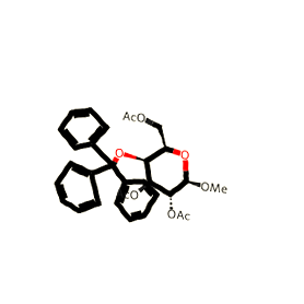 CO[C@@H]1O[C@H](COC(C)=O)[C@H](OC(c2ccccc2)(c2ccccc2)c2ccccc2)[C@H](OC(C)=O)[C@H]1OC(C)=O